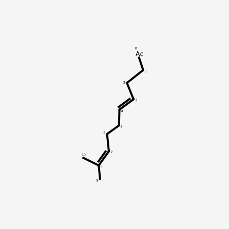 CC(=O)CC/C=C/CCC=C(C)C